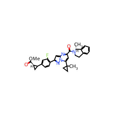 COC(=O)[C@@H]1CC1c1ccc(-c2cc3nc(C(=O)N4CCc5ccccc5[C@H]4C)cc(C4(C)CC4)n3n2)c(F)c1